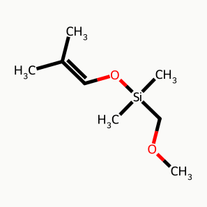 COC[Si](C)(C)OC=C(C)C